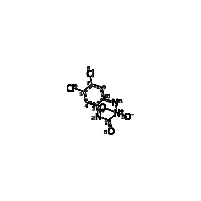 O=C1N=c2c3c(Cl)c(Cl)cc2=N[N+]1([O-])O3